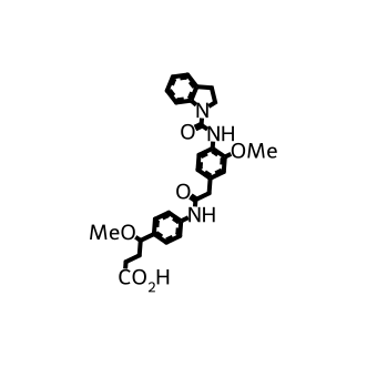 COc1cc(CC(=O)Nc2ccc(C(CCC(=O)O)OC)cc2)ccc1NC(=O)N1CCc2ccccc21